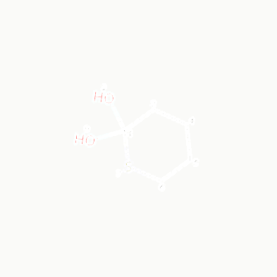 OC1(O)CCCCS1